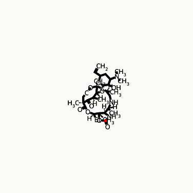 C=CC1CC(N(C)C)C(O)[C@H](O[C@@H]2[C@@H](C)C(=O)[C@]3(C)CCO[C@@]2(C)C[C@@H](C)CN[C@H](C)[C@H]2NC(=O)O[C@]2(C)[C@@H](CC)OC3=O)O1